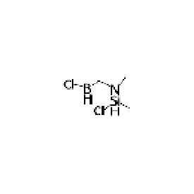 CN(CBCl)[SiH](C)Cl